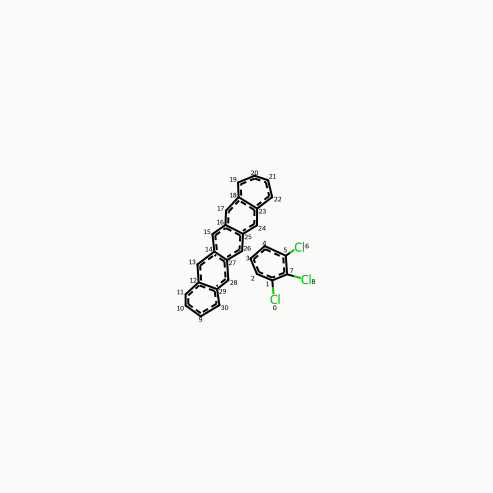 Clc1cccc(Cl)c1Cl.c1ccc2cc3cc4cc5ccccc5cc4cc3cc2c1